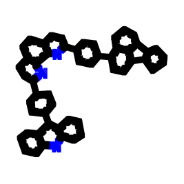 c1ccc2c(c1)-c1cccc3c(-c4ccc(-c5ccc6ccc7ccc(-c8ccc(-c9c%10ccccc%10nc%10ccccc9%10)cc8)nc7c6n5)cc4)ccc-2c13